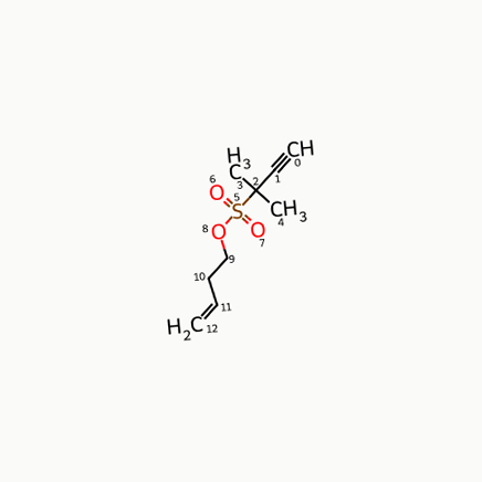 C#CC(C)(C)S(=O)(=O)OCCC=C